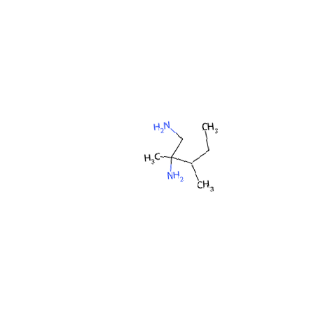 CCC(C)C(C)(N)CN